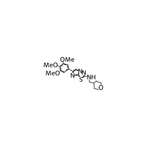 COc1cc(-c2cn3nc(NCC4CCOCC4)sc3n2)cc(OC)c1OC